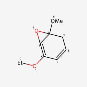 CCOC1=C2OC2(OC)CC=C1